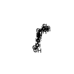 O=C(O)CC1CCC(c2ccc(-c3cn4cc(C(=O)NCc5ccc(OC(F)(F)F)c(Cl)c5)nc4s3)cc2)CC1